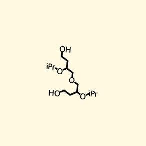 CC(C)OC(CCO)COCC(CCO)OC(C)C